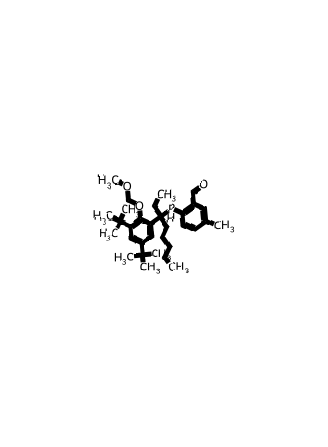 CCCCCC(CC)(Pc1ccc(C)cc1C=O)c1cc(C(C)(C)C)cc(C(C)(C)C)c1OCOC